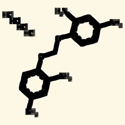 Cl.Cl.Cl.Cl.Nc1ccc(OCOc2ccc(N)cc2N)c(N)c1